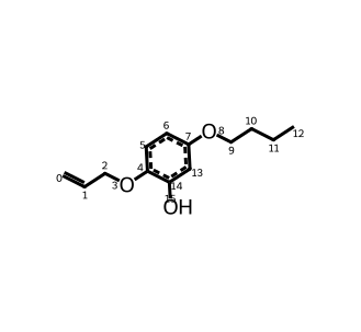 C=CCOc1ccc(OCCCC)cc1O